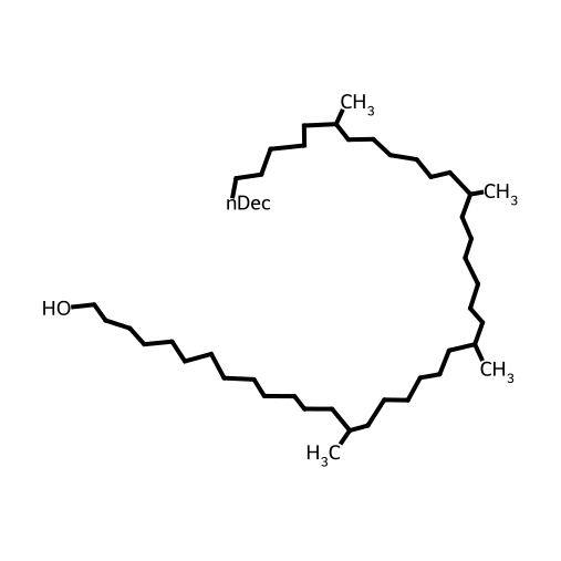 CCCCCCCCCCCCCCCC(C)CCCCCCC(C)CCCCCCC(C)CCCCCCC(C)CCCCCCCCCCCCCO